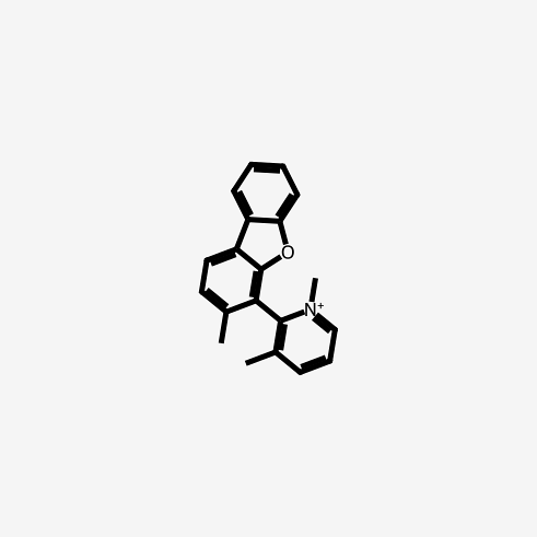 Cc1ccc2c(oc3ccccc32)c1-c1c(C)ccc[n+]1C